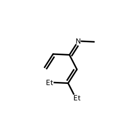 C=C/C(C=C(CC)CC)=N/C